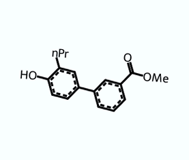 CCCc1cc(-c2cccc(C(=O)OC)c2)ccc1O